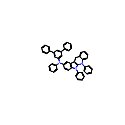 c1ccc(-c2cc(-c3ccccc3)cc(N(c3ccccc3)c3ccc4c(c3)c3c(n4-c4ccccc4)N(c4ccccc4)c4ccccc4C3)c2)cc1